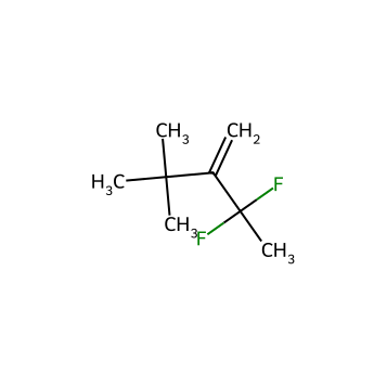 C=C(C(C)(C)C)C(C)(F)F